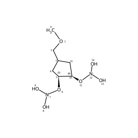 COCC1C[C@H](ON(O)O)[C@H](ON(O)O)C1